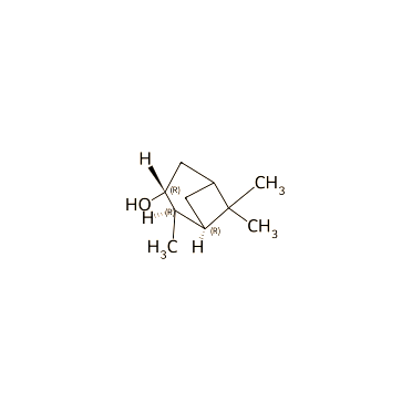 C[C@H]1[C@H](O)CC2C[C@H]1C2(C)C